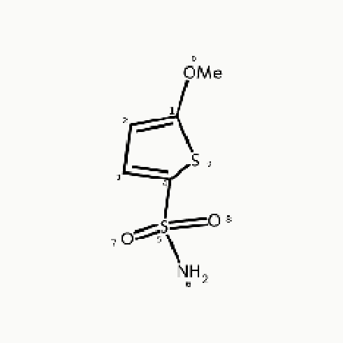 COc1ccc(S(N)(=O)=O)s1